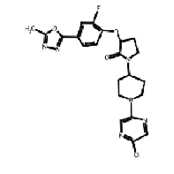 Cc1nnc(-c2ccc(OC3CCN(C4CCN(c5cnc(Cl)cn5)CC4)C3=O)c(F)c2)o1